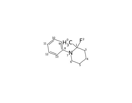 CC1(F)CCCCN1c1ccccc1